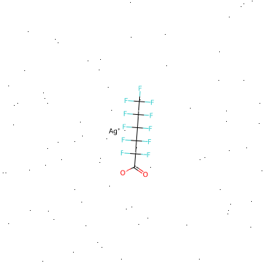 O=C([O-])C(F)(F)C(F)(F)C(F)(F)C(F)(F)C(F)(F)F.[Ag+]